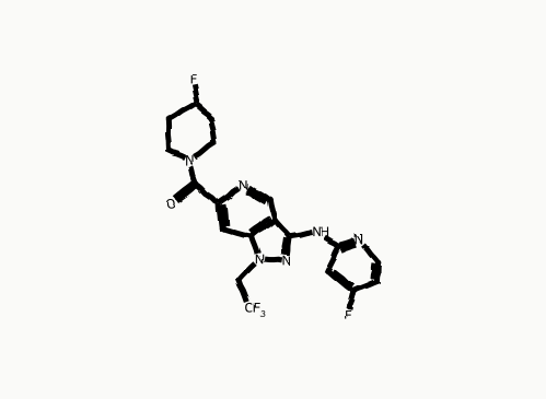 O=C(c1cc2c(cn1)c(Nc1cc(F)ccn1)nn2CC(F)(F)F)N1CCC(F)CC1